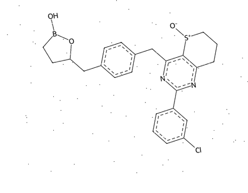 [O-][S+]1CCCc2nc(-c3cccc(Cl)c3)nc(Cc3ccc(CC4CCB(O)O4)cc3)c21